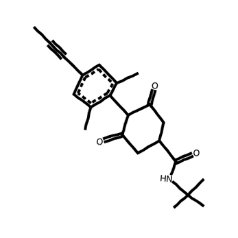 CC#Cc1cc(C)c(C2C(=O)CC(C(=O)NC(C)(C)C)CC2=O)c(C)c1